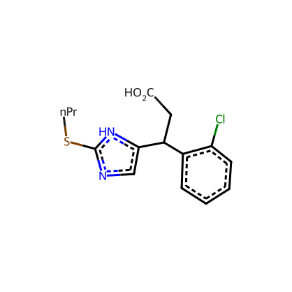 CCCSc1ncc(C(CC(=O)O)c2ccccc2Cl)[nH]1